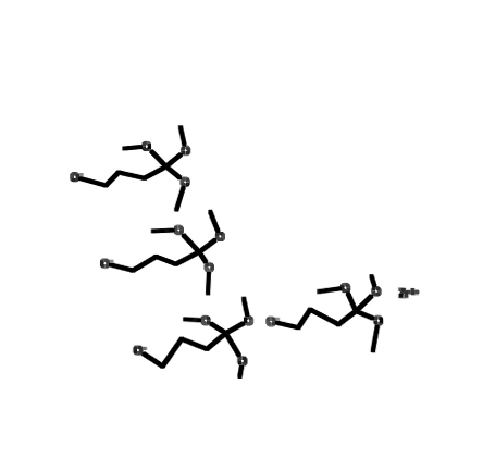 COC(CCC[O-])(OC)OC.COC(CCC[O-])(OC)OC.COC(CCC[O-])(OC)OC.COC(CCC[O-])(OC)OC.[Zr+4]